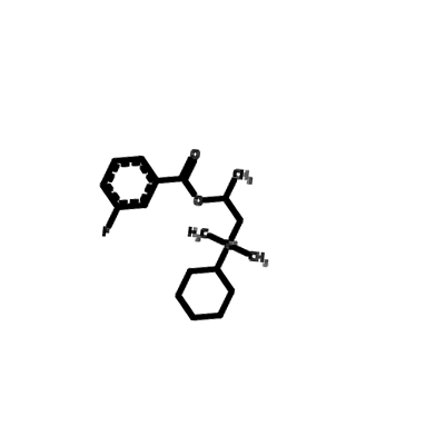 CC(C[N+](C)(C)C1CCCCC1)OC(=O)c1cccc(F)c1